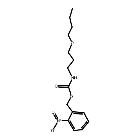 CCCCOCCCNC(=O)OCc1ccccc1[N+](=O)[O-]